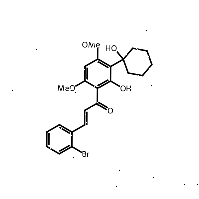 COc1cc(OC)c(C2(O)CCCCC2)c(O)c1C(=O)C=Cc1ccccc1Br